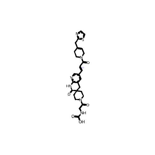 O=C(O)NCC(=O)N1CCC2(CC1)Cc1cc(/C=C/C(=O)N3CC=C(Cc4nccs4)CC3)cnc1NC2=O